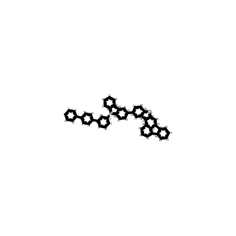 c1ccc(-c2ccc(-c3cccc(-n4c5ccccc5c5cc(-c6ccc7oc8cc9c%10c(cccc%10c8c7c6)-c6ccccc6-9)ccc54)c3)cc2)cc1